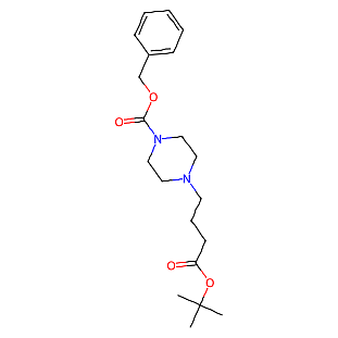 CC(C)(C)OC(=O)CCCN1CCN(C(=O)OCc2ccccc2)CC1